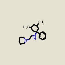 CC1CC(C)CC(NCCN2CCCCC2)(c2ccccc2)C1